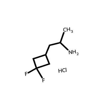 CC(N)CC1CC(F)(F)C1.Cl